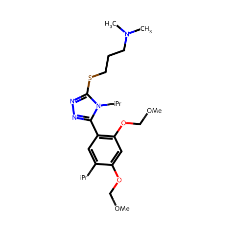 COCOc1cc(OCOC)c(C(C)C)cc1-c1nnc(SCCCN(C)C)n1C(C)C